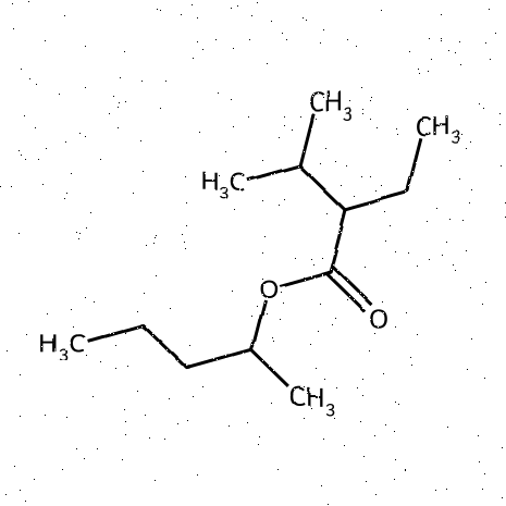 CCCC(C)OC(=O)C(CC)C(C)C